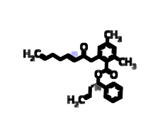 C=CCC/C=C/C(=O)Cc1cc(C)cc(C)c1C(=O)O[C@@H](CC=C)c1ccccc1